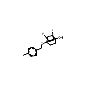 Cc1ccc(COC23CCC(O)(CC2)C(F)=C3F)cc1